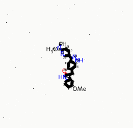 COc1ccc2c(c1)C(=Cc1ccc3c(-c4ccc(N(C)C)nc4)n[nH]c3c1)C(=O)N2